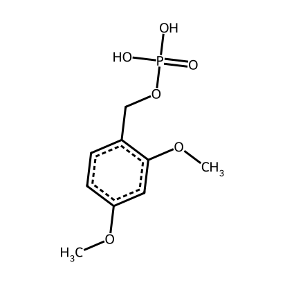 COc1ccc(COP(=O)(O)O)c(OC)c1